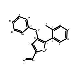 Cc1ccccc1-c1oc(C=O)cc1Sc1ccccc1